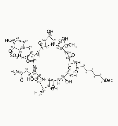 CCCCCCCCCCCCCCCC(=O)NC1CC(O)C(O)NC(=O)C2C(O)C(C)CN2C(=O)C(C(O)CC(N)=O)NC(=O)C(C(O)Cc2ccc(O)c(OS(=O)(=O)O)c2)NC(=O)C2CC(O)CN2C(=O)C(C(C)O)NC1=O